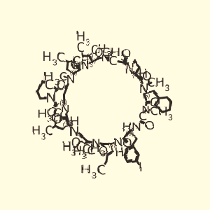 CCCC[C@@H]1NC(=O)[C@H](Cc2cccc(I)c2)NC(=O)CN(C)C(=O)[C@H](CC2CCCCC2)N(C)C(=O)[C@@H]2CCN2C(=O)CN(C)C(=O)[C@H]([C@@H](C)CC)NC(=O)[C@H](CC(C)C)N(C)C(=O)C[C@@H](C(=O)N2CCCCC2)N(C)C(=O)[C@H](CC(C)C)NC(=O)C(C)(C)N(C)C1=O